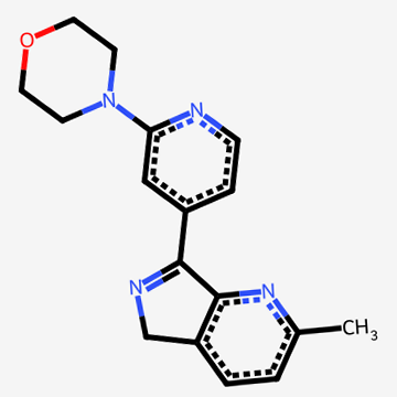 Cc1ccc2c(n1)C(c1ccnc(N3CCOCC3)c1)=NC2